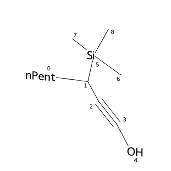 CCCCCC(C#CO)[Si](C)(C)C